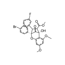 COC(=O)C1C(c2cccc(F)c2)[C@]2(c3ccc(Br)cc3)Oc3cc(OC)cc(OC)c3[C@@]1(O)C2=O